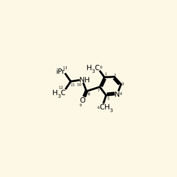 Cc1ccnc(C)c1C(=O)NC(C)C(C)C